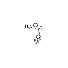 Cc1cccc(C(=O)CCc2ccc(C(F)(F)F)nc2)n1